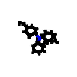 CC(C)c1ccc(-n2c3ccccc3c3c4c(ccc32)C4)cc1